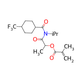 C=C(C)C(=O)OC(C)C(=O)N(C(=O)C1CCC(C(F)(F)F)CC1)C(C)C